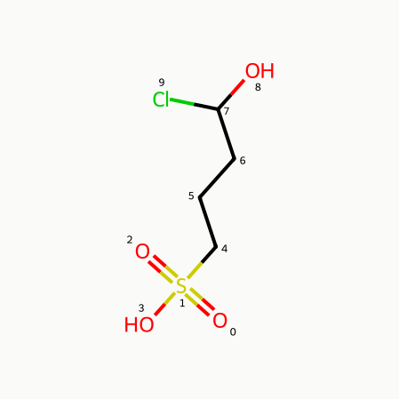 O=S(=O)(O)CCCC(O)Cl